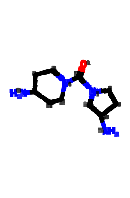 NC1CCN(C(=O)N2CCC(N)C2)CC1